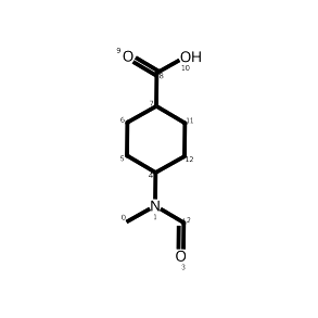 CN([C]=O)C1CCC(C(=O)O)CC1